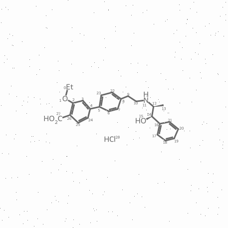 CCOc1cc(-c2ccc(CCN[C@@H](C)[C@H](O)c3ccccc3)cc2)ccc1C(=O)O.Cl